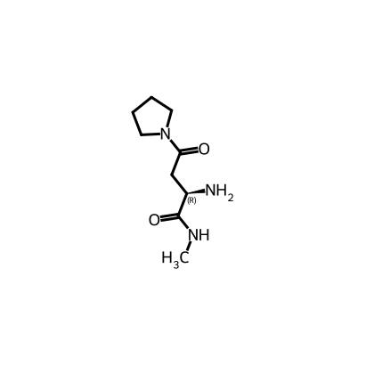 CNC(=O)[C@H](N)CC(=O)N1CCCC1